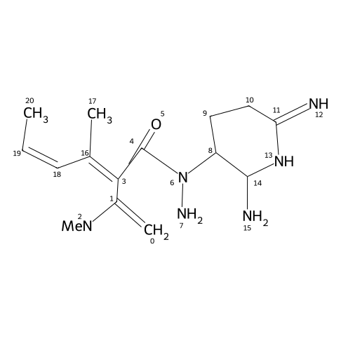 C=C(NC)/C(C(=O)N(N)C1CCC(=N)NC1N)=C(C)\C=C/C